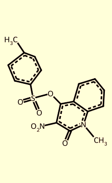 Cc1ccc(S(=O)(=O)Oc2c([N+](=O)[O-])c(=O)n(C)c3ccccc23)cc1